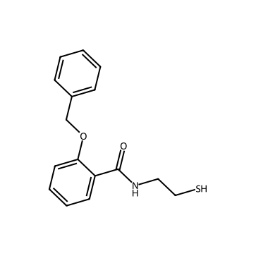 O=C(NCCS)c1ccccc1OCc1ccccc1